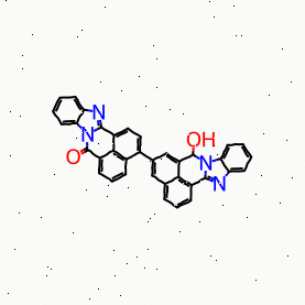 O=c1c2cccc3c(-c4cc5c6c(cccc6c4)-c4nc6ccccc6n4C5O)ccc(c32)c2nc3ccccc3n12